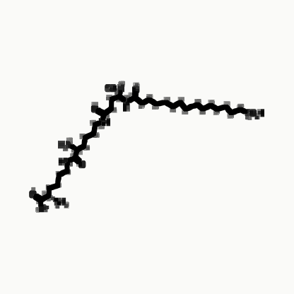 CC(C)C(=O)[C@@H](N)CCCCNC(=O)[C@@H](N)CCCCNC(=O)CC[C@H](NC(=O)CCCCCCCCCCCCCCC(=O)O)C(=O)O